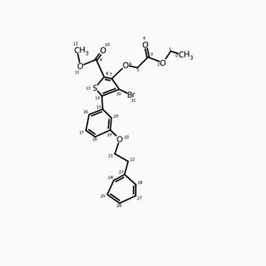 CCOC(=O)COc1c(C(=O)OC)sc(-c2cccc(OCCc3ccccc3)c2)c1Br